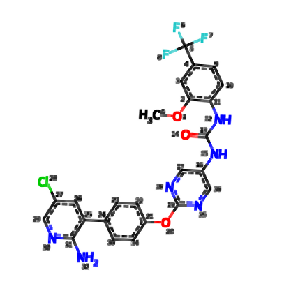 COc1cc(C(F)(F)F)ccc1NC(=O)Nc1cnc(Oc2ccc(-c3cc(Cl)cnc3N)cc2)nc1